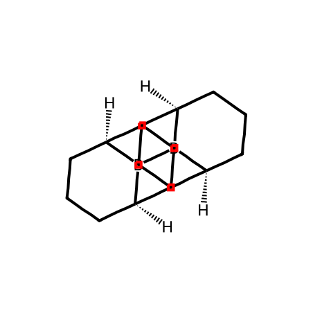 C1C[C@H]2CCC[C@@H](C1)B2B1[C@H]2CCC[C@@H]1CCC2